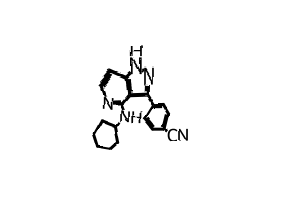 N#Cc1ccc(-c2n[nH]c3ccnc(NC4CCCCC4)c23)cc1